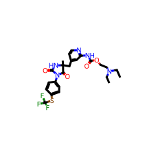 CCN(CC)CCOC(=O)Nc1cc(CC2(C)NC(=O)N(c3ccc(SC(F)(F)F)cc3)C2=O)ccn1